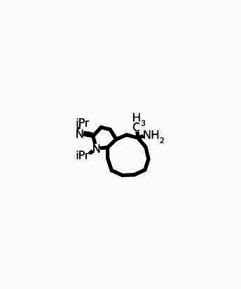 CC(C)/N=C1\CCC2CC(C)(N)CCCCCCCC2N1C(C)C